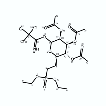 CCOP(=O)(CC[C@H]1OC(OC(=N)C(Cl)(Cl)Cl)[C@@H](OC(C)=O)[C@@H](OC(C)=O)[C@@H]1OC(C)=O)OCC